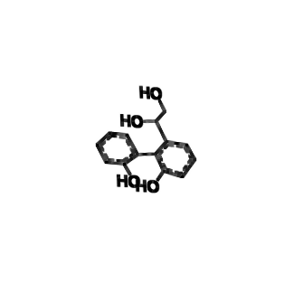 OCC(O)c1cccc(O)c1-c1ccccc1O